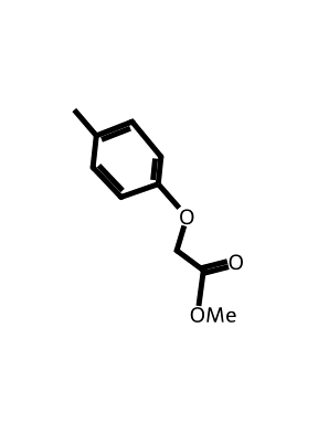 COC(=O)COc1ccc(C)cc1